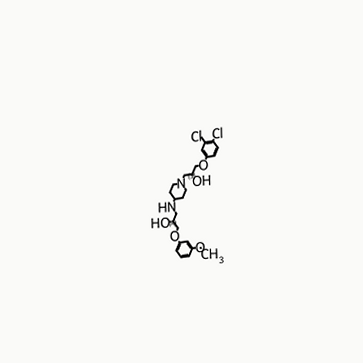 COc1cccc(OC[C@H](O)CNC2CCN(C[C@H](O)COc3ccc(Cl)c(Cl)c3)CC2)c1